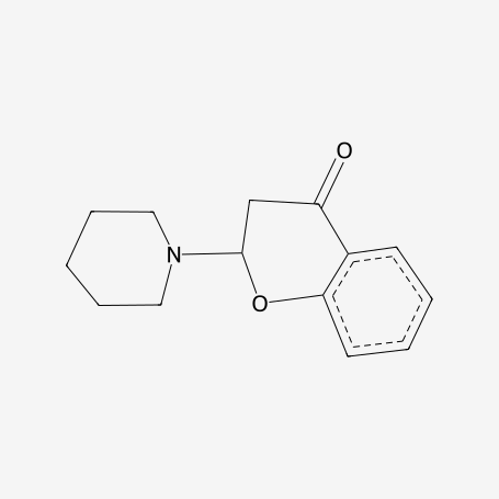 O=C1CC(N2CCCCC2)Oc2ccccc21